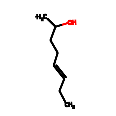 [CH2]C(O)CCC=CCC